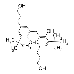 CC(C)(C)c1cc(CCCO)cc(Cc2cc(CCCO)cc(C(C)(C)C)c2O)c1O